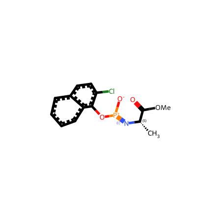 COC(=O)[C@H](C)/N=[P+](\[O-])Oc1c(Cl)ccc2ccccc12